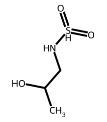 CC(O)CN[SH](=O)=O